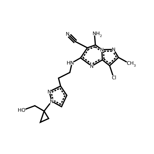 Cc1nn2c(N)c(C#N)c(NCCc3ccn(C4(CO)CC4)n3)nc2c1Cl